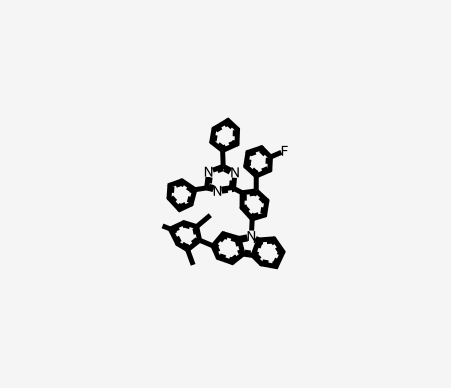 Cc1cc(C)c(-c2ccc3c4ccccc4n(-c4ccc(-c5cccc(F)c5)c(-c5nc(-c6ccccc6)nc(-c6ccccc6)n5)c4)c3c2)c(C)c1